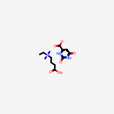 CC[N+](C)(C)CCCC(=O)O.O=C([O-])c1cc(=O)[nH]c(=O)[nH]1